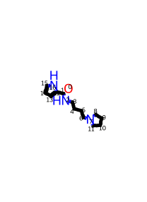 O=C(NCCCCN1CCCC1)c1ccc[nH]1